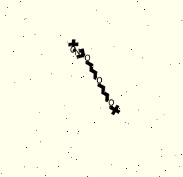 CC(C)(C)COCCCCCOCCCCCOC1CN(OC(C)(C)C)C1